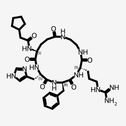 N=C(N)NCCC[C@@H]1NC(=O)[C@@H](Cc2ccccc2)NC(=O)[C@H](Cc2c[nH]cn2)NC(=O)[C@@H](NC(=O)CC2CCCC2)CCC(=O)NCCNC1=O